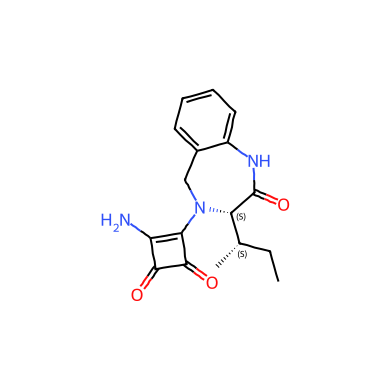 CC[C@H](C)[C@H]1C(=O)Nc2ccccc2CN1c1c(N)c(=O)c1=O